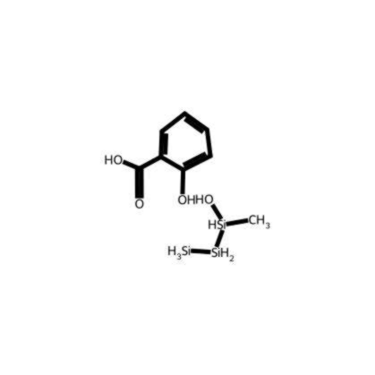 C[SiH](O)[SiH2][SiH3].O=C(O)c1ccccc1O